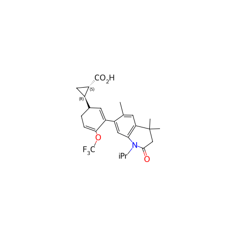 Cc1cc2c(cc1C1=CC([C@H]3C[C@@H]3C(=O)O)CC=C1OC(F)(F)F)N(C(C)C)C(=O)CC2(C)C